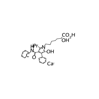 CC(C)c1c(C(=O)Nc2ccccc2)c(-c2ccccc2)c(O)n1CCCCCC(O)C(=O)O.[Ca]